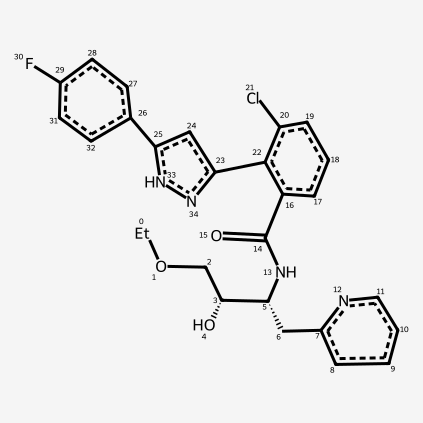 CCOC[C@@H](O)[C@@H](Cc1ccccn1)NC(=O)c1cccc(Cl)c1-c1cc(-c2ccc(F)cc2)[nH]n1